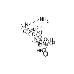 CCC(C)C(C(CC(=O)N1CCC[C@H]1[C@H](OC)[C@@H](C)C(=O)N[C@@H](Cc1c[nH]c2ccccc12)C(N)=O)OC)N(C)C(=O)[C@@H](NC(=O)[C@H](C(C)C)N(C)CCCCCCN)C(C)C